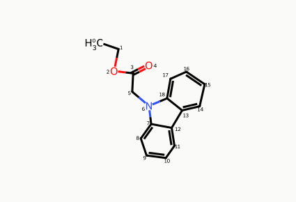 CCOC(=O)Cn1c2ccccc2c2ccccc21